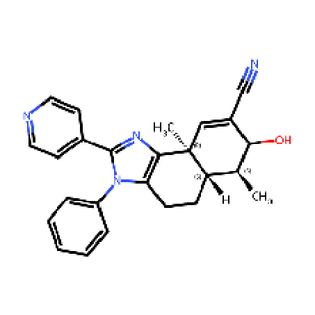 C[C@@H]1C(O)C(C#N)=C[C@]2(C)c3nc(-c4ccncc4)n(-c4ccccc4)c3CC[C@@H]12